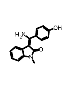 CN1C(=O)C(=C(N)c2ccc(O)cc2)c2ccccc21